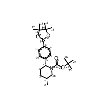 C[C@H]1CC[C@H](c2ccc(B3OC(C)(C)C(C)(C)O3)cc2)N(C(=O)OC(C)(C)C)C1